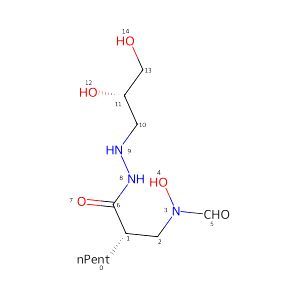 CCCCC[C@@H](CN(O)C=O)C(=O)NNC[C@H](O)CO